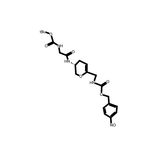 CC(C)(C)OC(=O)NCC(=O)N[C@@H]1CC=C(CNC(=O)OCc2ccc(N=O)cc2)OC1